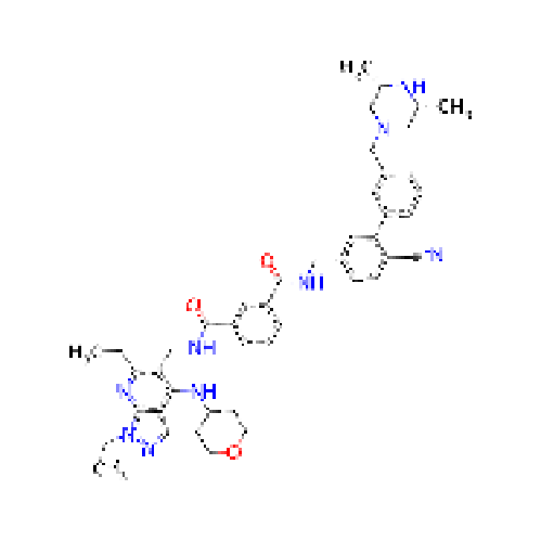 CCc1nc2c(cnn2CC)c(NC2CCOCC2)c1CNC(=O)c1cccc(C(=O)NCc2ccc(C#N)c(-c3cccc(CN4C[C@@H](C)N[C@@H](C)C4)c3)c2)c1